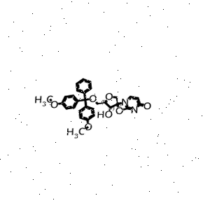 COc1ccc(C(OC[C@H]2OC[C@@]3(Oc4nc(=O)ccn43)[C@@H]2O)(c2ccccc2)c2ccc(OC)cc2)cc1